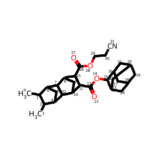 CC1C(C)C2CC1C1C3CC(C(C(=O)OC4C5CC6CC(C5)CC4C6)C3C(=O)OCCC#N)C21